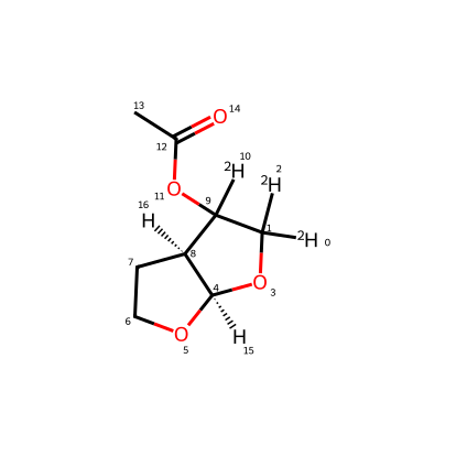 [2H]C1([2H])O[C@H]2OCC[C@H]2C1([2H])OC(C)=O